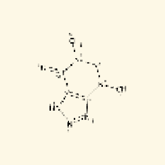 CN1CN(C)c2nn[nH]c2C1=O